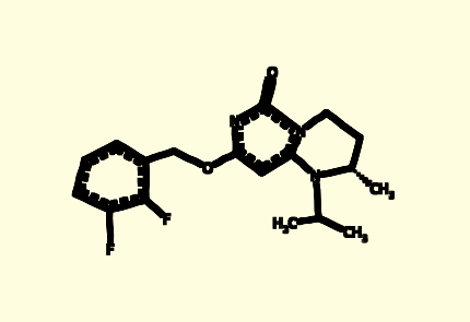 CC(C)N1c2cc(OCc3cccc(F)c3F)nc(=O)n2CC[C@@H]1C